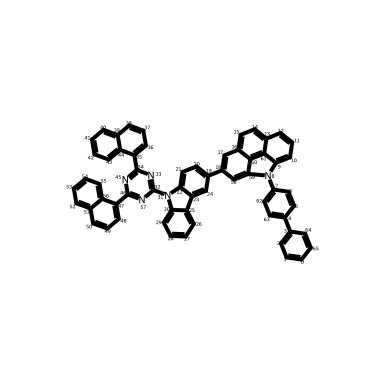 c1ccc(-c2ccc(-n3c4cccc5ccc6cc(-c7ccc8c(c7)c7ccccc7n8-c7nc(-c8cccc9ccccc89)nc(-c8cccc9ccccc89)n7)cc3c6c54)cc2)cc1